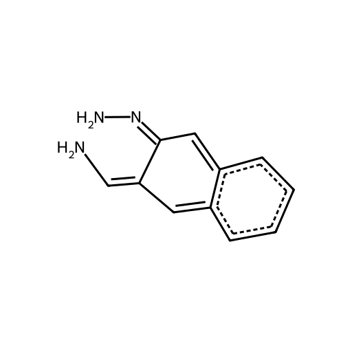 N/C=C1/C=c2ccccc2=C/C1=N/N